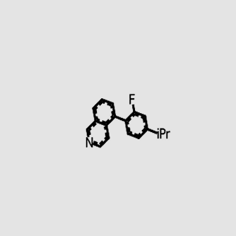 CC(C)c1ccc(-c2cccc3cnccc23)c(F)c1